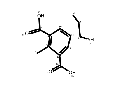 CCCS.Cc1c(C(=O)O)cccc1C(=O)O